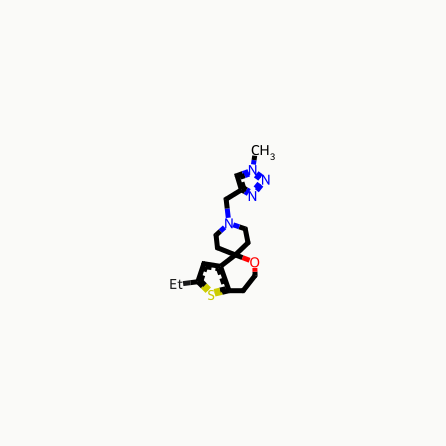 CCc1cc2c(s1)CCOC21CCN(Cc2cn(C)nn2)CC1